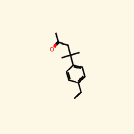 CCc1ccc(C(C)(C)CC(C)=O)cc1